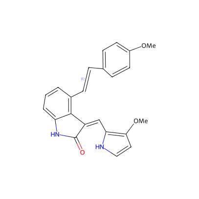 COc1ccc(/C=C/c2cccc3c2C(=Cc2[nH]ccc2OC)C(=O)N3)cc1